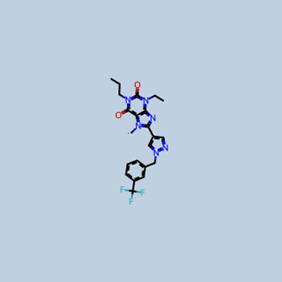 [CH2]n1c(-c2cnn(Cc3cccc(C(F)(F)F)c3)c2)nc2c1c(=O)n(CCC)c(=O)n2CC